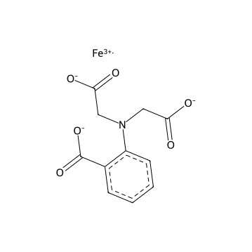 O=C([O-])CN(CC(=O)[O-])c1ccccc1C(=O)[O-].[Fe+3]